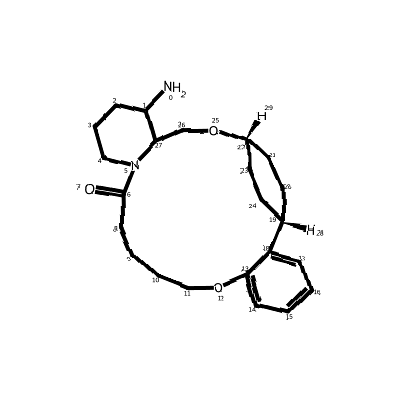 NC1CCCN2C(=O)CCCCOc3ccccc3[C@H]3CC[C@H](CC3)OCC12